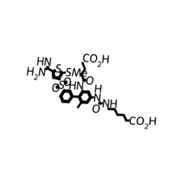 CSc1sc(C(=N)N)cc1S(=O)(=O)c1cccc(-c2c(C)cc(NC(=O)NCCCCCC(=O)O)cc2NC(=O)CCCC(=O)O)c1